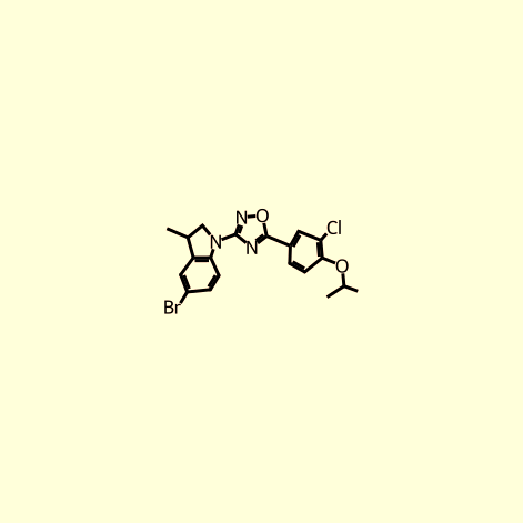 CC(C)Oc1ccc(-c2nc(N3CC(C)c4cc(Br)ccc43)no2)cc1Cl